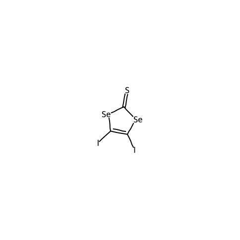 S=c1[se]c(I)c(I)[se]1